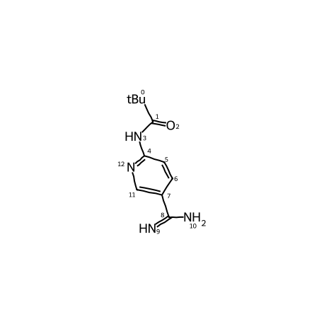 CC(C)(C)C(=O)Nc1ccc(C(=N)N)cn1